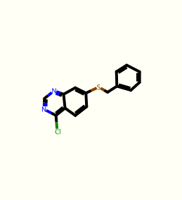 Clc1ncnc2cc(SCc3ccccc3)ccc12